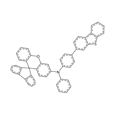 c1ccc(N(c2ccc(-c3ccc4c(c3)sc3ccccc34)cc2)c2ccc3c(c2)Oc2ccccc2C32c3ccccc3-c3ccccc32)cc1